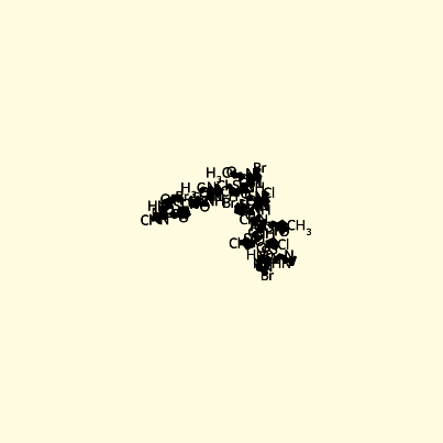 COCCOc1nc(Br)cnc1NS(=O)(=O)c1ccc(Cl)s1.COc1nc(Cl)cnc1NS(=O)(=O)c1ccc(Br)s1.COc1ncc(Cl)nc1NS(=O)(=O)c1ccc(Br)s1.Cc1cc(COc2ncc(Cl)nc2NS(=O)(=O)c2ccc(Cl)s2)no1.O=S(=O)(Nc1nc(Cl)cnc1OCc1ccco1)c1ccc(Cl)s1.O=S(=O)(Nc1ncc(Br)nc1OCCc1ncc[nH]1)c1ccc(Cl)s1